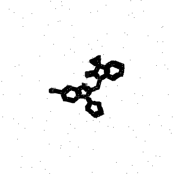 O=C1N(Cc2nc3cc(Cl)ccc3n2C2CCCC2)c2cnccc2C12CC2